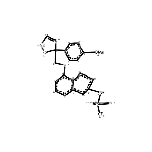 COc1ccc(C2(COc3cccc4cc(NS(=O)(=O)C(F)(F)F)ccc34)N=CNO2)cc1